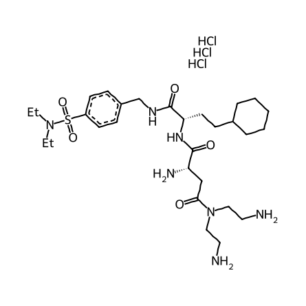 CCN(CC)S(=O)(=O)c1ccc(CNC(=O)[C@H](CCC2CCCCC2)NC(=O)[C@@H](N)CC(=O)N(CCN)CCN)cc1.Cl.Cl.Cl